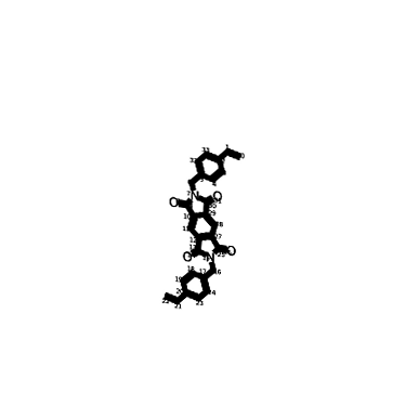 C=Cc1ccc(Cn2c(=O)c3cc4c(=O)n(Cc5ccc(C=C)cc5)c(=O)c4cc3c2=O)cc1